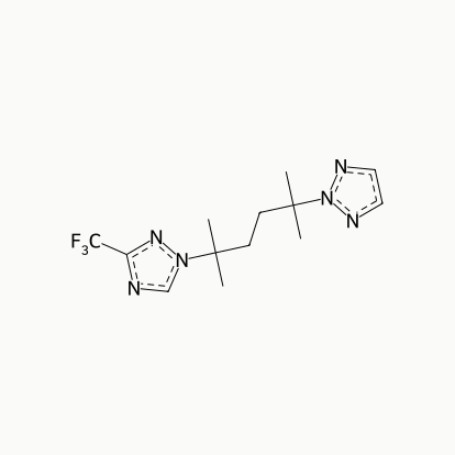 CC(C)(CCC(C)(C)n1nccn1)n1cnc(C(F)(F)F)n1